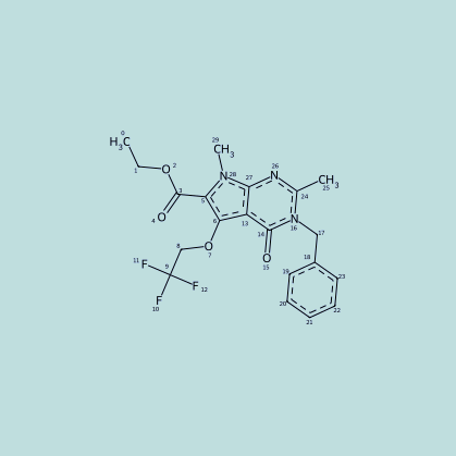 CCOC(=O)c1c(OCC(F)(F)F)c2c(=O)n(Cc3ccccc3)c(C)nc2n1C